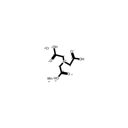 O=C(O)CN(CC(=O)O)CC(=O)O.[Cr].[Mn]